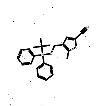 Cc1oc(C#N)cc1CO[Si](c1ccccc1)(c1ccccc1)C(C)(C)C